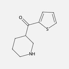 O=C(c1cccs1)C1CCCNC1